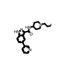 O=C(NC1CCN(CCF)CC1)c1n[nH]c2ccc(-c3cccnc3)cc12